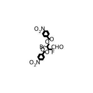 O=C[C@@H](F)[C@H](OC(=O)c1ccc([N+](=O)[O-])cc1)[C@@H](Br)COC(=O)c1ccc([N+](=O)[O-])cc1